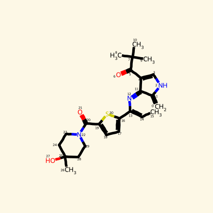 C=C1NC=C(C(=O)C(C)(C)C)/C1=N/C(=C\C)c1ccc(C(=O)N2CCC(C)(O)CC2)s1